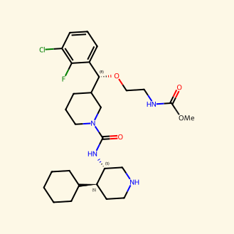 COC(=O)NCCO[C@@H](c1cccc(Cl)c1F)C1CCCN(C(=O)N[C@@H]2CNCC[C@H]2C2CCCCC2)C1